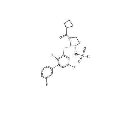 CCS(=O)(=O)N[C@H]1CCN(C(=O)C2CCC2)[C@H]1Cc1cc(F)cc(-c2cccc(F)c2)c1F